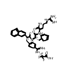 N=C(N)NCCCC(NC(=O)[C@H](Cc1ccccc1)NC(=O)[C@@H](Cc1ccc(C(=N)N)cc1)c1ccc2ccccc2c1)C(N)=O.O=C(O)C(F)(F)F